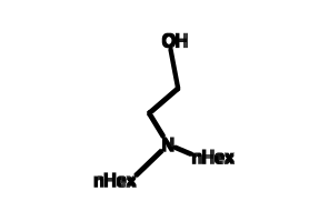 CCCCCCN(CCO)CCCCCC